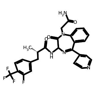 C[C@@H](Cc1ccc(C(F)(F)F)c(F)c1)C(=O)NC1N=C(c2ccncc2)c2ccccc2N(CC(N)=O)C1=O